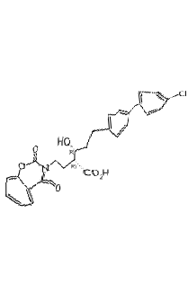 O=C(O)[C@H](CCn1c(=O)oc2ccccc2c1=O)[C@H](O)CCc1ccc(-c2ccc(Cl)cc2)cc1